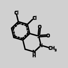 CN1NCc2ccc(Cl)c(Cl)c2S1(=O)=O